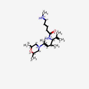 C=C(C)[C@H](NC(=O)CCCCNC)C(C)/C=C(\C)N1CC(C)OC(C)C1